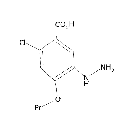 CC(C)Oc1cc(Cl)c(C(=O)O)cc1NN